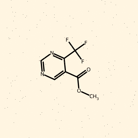 COC(=O)c1cn[c]nc1C(F)(F)F